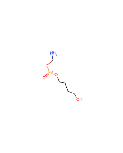 NCO[PH](=O)OCCCCO